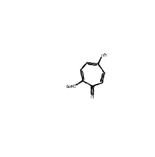 CCCc1ccc(OC)c(=O)cc1